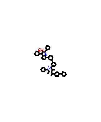 C=C/C(=N\C(C(=C)CC(=C)c1ccc(-c2ccccc2)cc1)c1cccc(-c2cccc(-c3cccc4c(-c5ccccc5O)c(C)c(-c5ccccc5)nc34)c2)c1)c1ccccc1